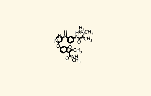 CNC(=O)c1c(C)oc2cc(Oc3cc(Nc4cccc(NC(=O)[C@@H](C)N(C)C)c4)ncn3)ccc12